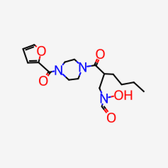 CCCCC(CN(O)C=O)C(=O)N1CCN(C(=O)c2ccco2)CC1